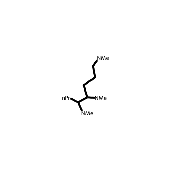 CCCC(NC)C([CH]CCNC)NC